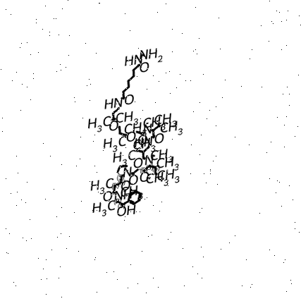 CC[C@H](C)[C@@H]([C@@H](CC(=O)N1CCC[C@H]1[C@H](OC)[C@@H](C)C(=O)N[C@H](C)[C@@H](O)c1ccccc1)OC)N(C)C(=O)C(CNC(=O)C(C(C)C)N(C)C(=O)COC(C)(C)CCOC(C)(C)CCNC(=O)CCCCCC(=O)NN)C(C)C